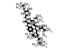 CC(C)C[C@H](NC(=O)[C@H](CCCCNC(=O)OC(C)(C)C)NC(=O)[C@@H](N)C(C)C)C(=O)N[C@@H](Cc1ccc(OC(C)(C)C)cc1)C(=O)NCC(=O)N[C@@H](COC(C)(C)C)C(=O)O